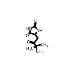 CC(C)(C)C(=O)CC1NC(=O)NC1=O